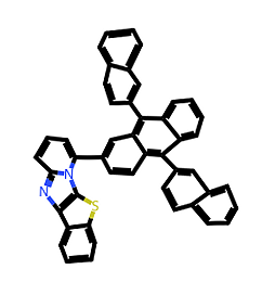 c1ccc2cc(-c3c4ccccc4c(-c4ccc5ccccc5c4)c4cc(-c5cccc6nc7c8ccccc8sc7n56)ccc34)ccc2c1